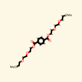 COCCOCCOCCOC(=O)c1ccc(C(=O)OCCOCCOCCOC)cc1